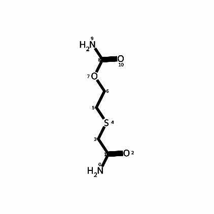 NC(=O)CSCCOC(N)=O